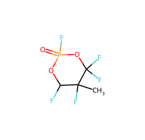 CC1(F)C(F)OP(=O)(F)OC1(F)F